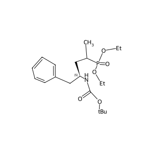 CCOP(=O)(OCC)C(C)C[C@H](Cc1ccccc1)NC(=O)OC(C)(C)C